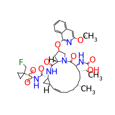 CC[C@@H]1C[C@H](C)CCC=C[C@@H]2C[C@@]2(C(=O)NS(=O)(=O)C2(CF)CC2)NC(=O)[C@@H]2C[C@@H](Oc3nc(OC)cc4ccccc34)CN2C(=O)[C@H]1NC(=O)O